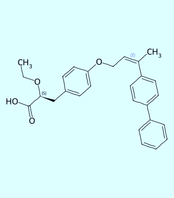 CCO[C@@H](Cc1ccc(OC/C=C(/C)c2ccc(-c3ccccc3)cc2)cc1)C(=O)O